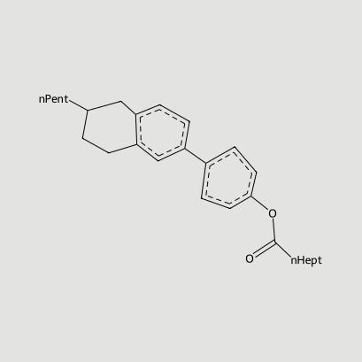 CCCCCCCC(=O)Oc1ccc(-c2ccc3c(c2)CCC(CCCCC)C3)cc1